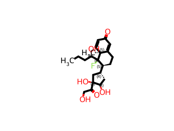 CCC[C@H](O)[C@@]1(F)[C@H]([C@@H]2C[C@@H](O)[C@](O)(C(=O)CO)C2)CCC2=CC(=O)C=C[C@@]21C